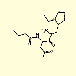 CCCC(=O)NC(CC(C)=O)C(=O)N(N)CC1CCCN1CC